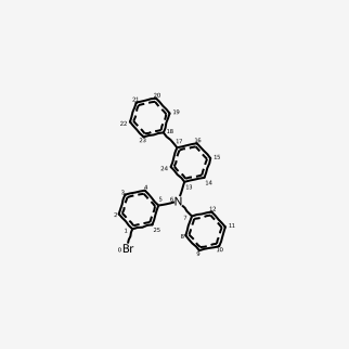 Brc1cccc(N(c2ccccc2)c2cccc(-c3ccccc3)c2)c1